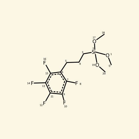 CO[Si](CCCc1c(F)c(F)c(F)c(F)c1F)(OC)OC